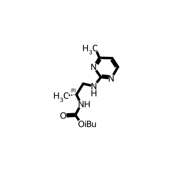 Cc1ccnc(NC[C@@H](C)NC(=O)OCC(C)C)n1